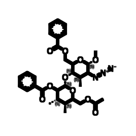 CO[C@H]1OC(COC(=O)c2ccccc2)[C@@H](O[C@@H]2OC(COC(C)=O)[C@@H](C)[C@H](C)C2OC(=O)c2ccccc2)[C@H](C)C1N=[N+]=[N-]